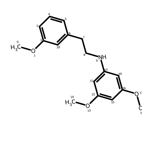 COc1cccc(CCNc2cc(OC)cc(OC)c2)c1